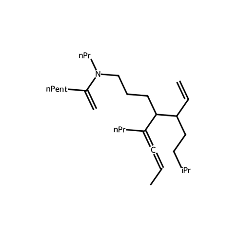 C=CC(CCC(C)C)C(CCCN(CCC)C(=C)CCCCC)C(=C=CC)CCC